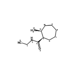 N#CCNC(=O)[C@@H]1CCCCC[C@@H]1N